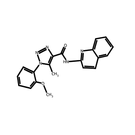 COc1ccccc1-n1nnc(C(=O)Nc2ccc3ccccc3n2)c1C